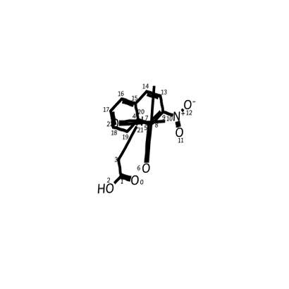 O=C(O)CN1C(=O)CC2=C([N+](=O)[O-])C=CC3=CC=CCC32C1=O